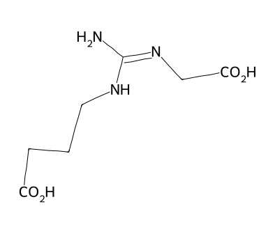 NC(=NCC(=O)O)NCCCC(=O)O